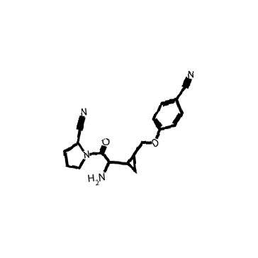 N#Cc1ccc(OCC2CC2C(N)C(=O)N2CCCC2C#N)cc1